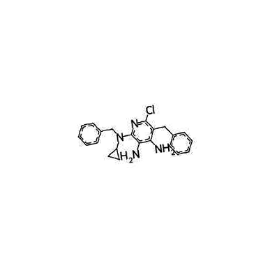 Nc1c(N(Cc2ccccc2)C2CC2)nc(Cl)c(Cc2ccccc2)c1N